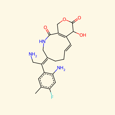 Cc1cc(/C(CN)=C2\CC/C=C/C3=C(COC(=O)C3O)C(=O)NC2)c(N)cc1F